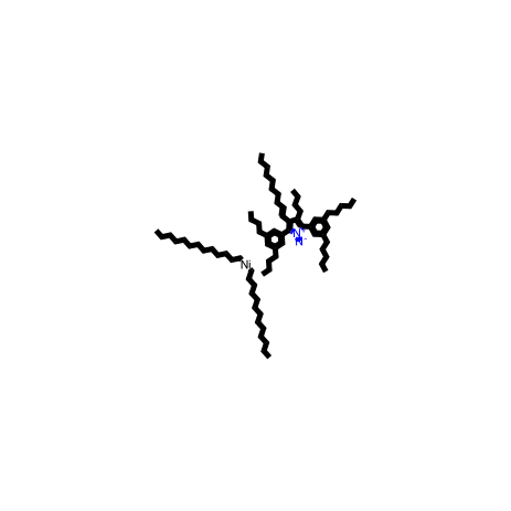 CCCCCCCCC=CC1=C(c2cc(CCCC)cc(CCCC)c2)[N+](=[N-])C(c2cc(CCCCC)cc(CCCCC)c2)=C1CCCC.CCCCCCCCCCCC[CH2][Ni][CH2]CCCCCCCCCCCC